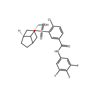 O=C(Nc1cc(F)c(F)c(F)c1)c1ccc(Cl)c(S(=O)(=O)CC2C3CC[C@H]2C[C@H](CO)C3)c1